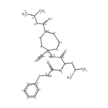 CC(C)CC(OC(=O)NCc1ccccc1)C(=O)NC1(C#N)CCCN(C(=O)OC(C)C)CC1